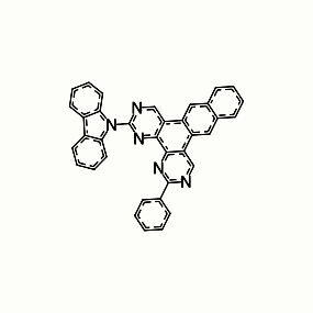 c1ccc(-c2ncc3c4cc5ccccc5cc4c4cnc(-n5c6ccccc6c6ccccc65)nc4c3n2)cc1